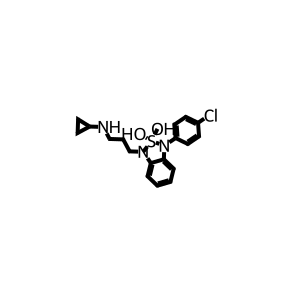 OS1(O)N(CCCNC2CC2)c2ccccc2N1c1ccc(Cl)cc1